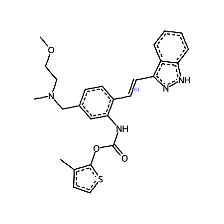 COCCN(C)Cc1ccc(/C=C/c2n[nH]c3ccccc23)c(NC(=O)Oc2sccc2C)c1